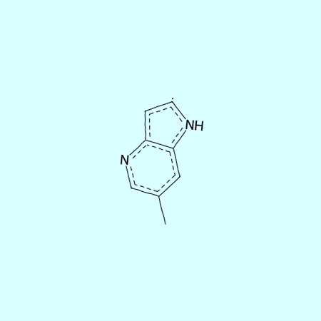 Cc1cnc2c[c][nH]c2c1